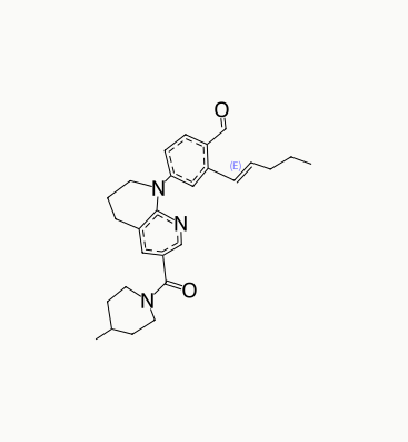 CCC/C=C/c1cc(N2CCCc3cc(C(=O)N4CCC(C)CC4)cnc32)ccc1C=O